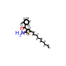 CCCCCCCCCCc1cc(C(=O)c2ccccc2C)c(N)s1